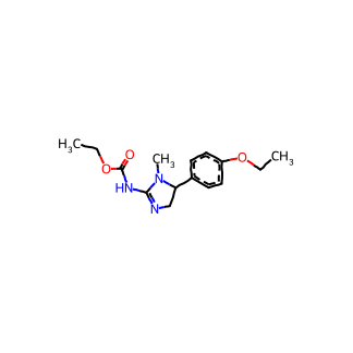 CCOC(=O)NC1=NCC(c2ccc(OCC)cc2)N1C